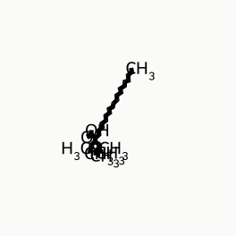 CCCCCCCCCCCCCCCCCCCCC(C(=O)O)C1CC(C)(C)N(C)C(C)(C)C1